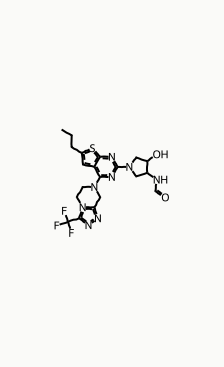 CCCc1cc2c(N3CCn4c(nnc4C(F)(F)F)C3)nc(N3CC(O)C(NC=O)C3)nc2s1